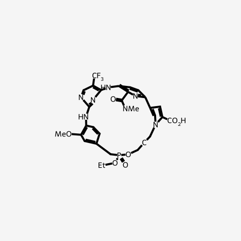 CCOP1(=O)Cc2ccc(c(OC)c2)Nc2ncc(C(F)(F)F)c(n2)Nc2ccc(nc2C(=O)NC)-c2cc(C(=O)O)n(c2)CCCO1